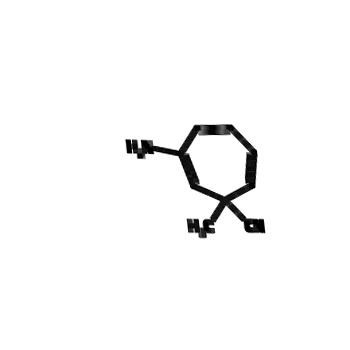 CC1(C#N)C=CC=CC(N)=C1